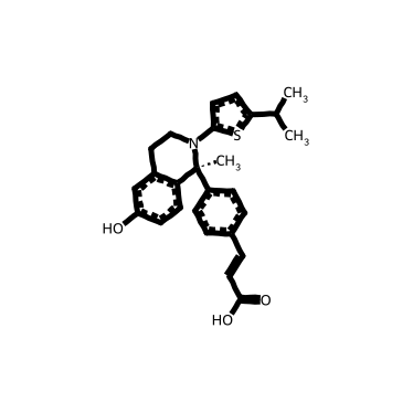 CC(C)c1ccc(N2CCc3cc(O)ccc3[C@]2(C)c2ccc(C=CC(=O)O)cc2)s1